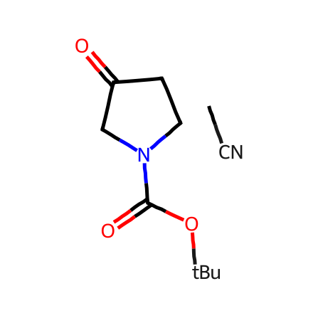 CC#N.CC(C)(C)OC(=O)N1CCC(=O)C1